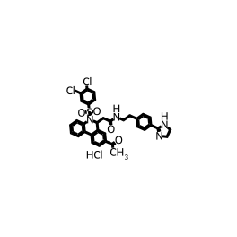 CC(=O)c1ccc2c(c1)C(CC(=O)NCCc1ccc(C3=NCCN3)cc1)N(S(=O)(=O)c1ccc(Cl)c(Cl)c1)c1ccccc1-2.Cl